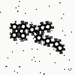 c1ccc(C2(c3ccccc3)c3ccccc3-c3c(-c4ccc(N(c5cccc(-c6ccc(-c7ccc8ccccc8c7)cc6)c5)c5ccc6ccccc6c5)cc4)cccc32)cc1